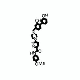 COc1ccc(NC(=O)c2ccc(N3CCN(Cc4ccc(-c5cccc(O)c5)c(C)c4)CC3)nn2)cc1